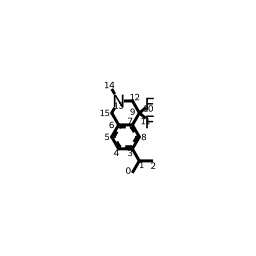 CC(C)c1ccc2c(c1)C(F)(F)CN(C)C2